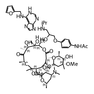 CC(=O)Nc1ccc(OCC(O)CNC(C)C)cc1.CC[C@H]1OC(=O)[C@H](C)[C@@H](O[C@H]2C[C@@](C)(OC)[C@@H](O)[C@H](C)O2)[C@H](C)[C@@H](O[C@@H]2O[C@H](C)C[C@H](N(C)C)[C@H]2O)[C@](C)(OC)C[C@@H](C)C(=O)[C@H](C)[C@@H](O)[C@]1(C)O.c1coc(CNc2[nH]cnc3ncnc2-3)c1